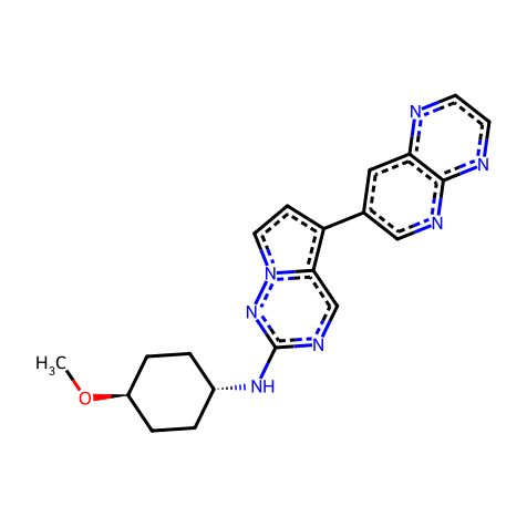 CO[C@H]1CC[C@H](Nc2ncc3c(-c4cnc5nccnc5c4)ccn3n2)CC1